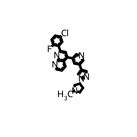 CN1CC[C@@H](n2cc(-c3cncc(-c4cc(-c5cc(Cl)ccc5F)nc5ncccc45)c3)cn2)C1